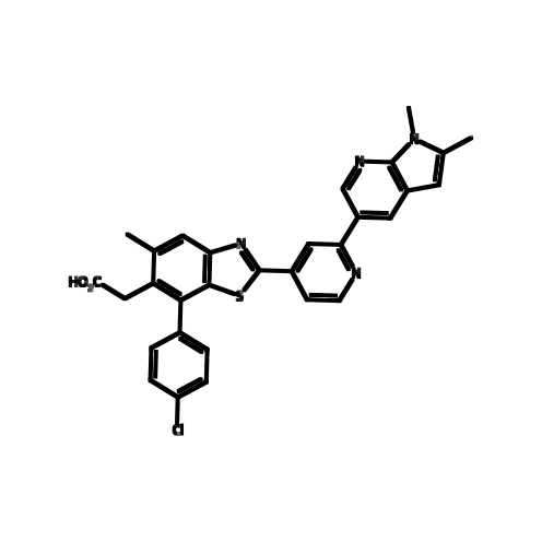 Cc1cc2nc(-c3ccnc(-c4cnc5c(c4)cc(C)n5C)c3)sc2c(-c2ccc(Cl)cc2)c1CC(=O)O